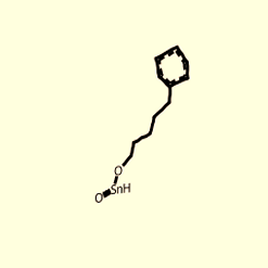 [O]=[SnH][O]CCCCCc1ccccc1